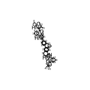 COC(=O)N[C@H](C(=O)N1CCC[C@H]1c1ncc(-c2ccc3c(c2)COc2cc4c(cc2-3)CCc2[nH]c([C@@H]3CCCN3C(=O)OC(C)(C)C)nc2-4)[nH]1)C(C)C